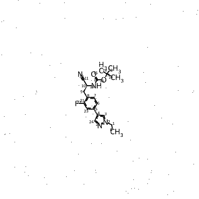 CCn1cc(-c2ccc(C[C@@H](C#N)NC(=O)OC(C)(C)C)c(F)c2)cn1